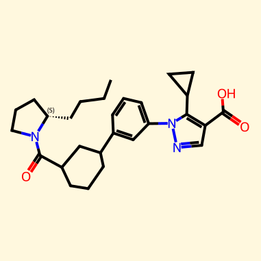 CCCC[C@H]1CCCN1C(=O)C1CCCC(c2cccc(-n3ncc(C(=O)O)c3C3CC3)c2)C1